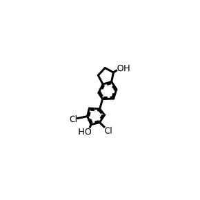 Oc1c(Cl)cc(-c2ccc3c(c2)CCC3O)cc1Cl